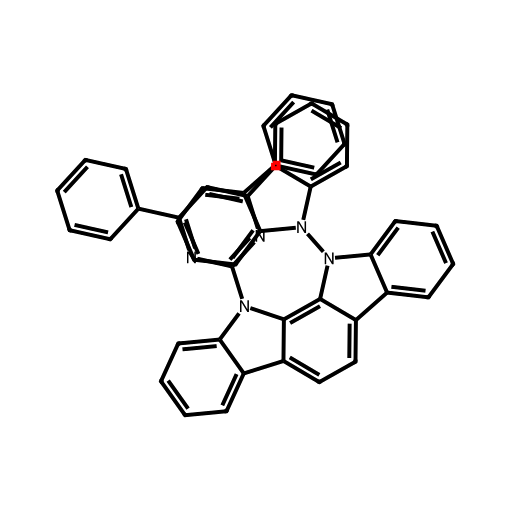 c1ccc(-c2cc(-c3ccccc3)nc(-n3c4ccccc4c4ccc5c6ccccc6n(-n6c7ccccc7c7ccccc76)c5c43)n2)cc1